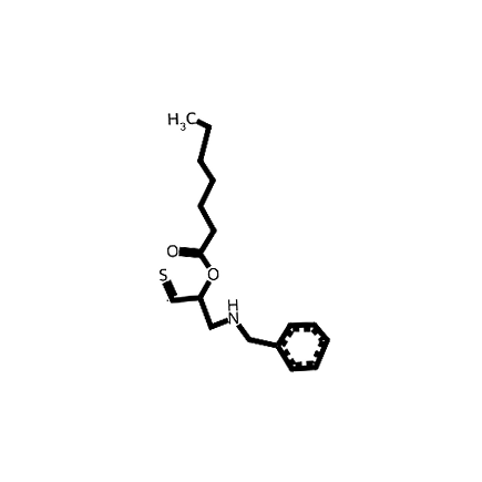 CCCCCCC(=O)OC([C]=S)CNCc1ccccc1